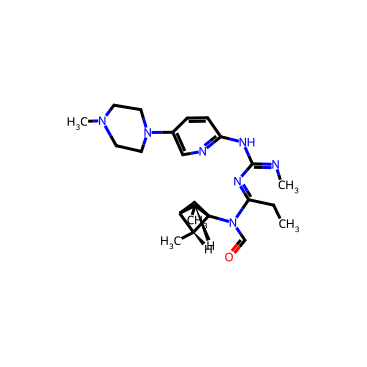 CC/C(=N\C(=N/C)Nc1ccc(N2CCN(C)CC2)cn1)N(C=O)C12CC([C@H]1C)[C@H]2C